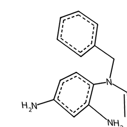 C=CN(Cc1ccccc1)c1ccc(N)cc1N